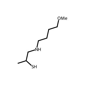 COCCCCNCC(C)S